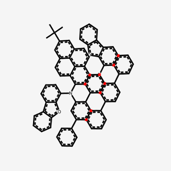 CC(C)(C)c1cc2ccc3c(N(c4cc(-c5ccccc5)ccc4-c4ccccc4)c4cccc5c4oc4ccccc45)cc(N(c4cc(-c5ccccc5)ccc4-c4ccccc4)c4cccc5c4oc4ccccc45)c4ccc(c1)c2c34